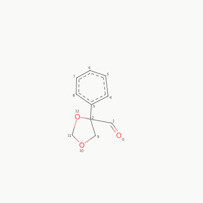 O=CC1(c2ccccc2)COCO1